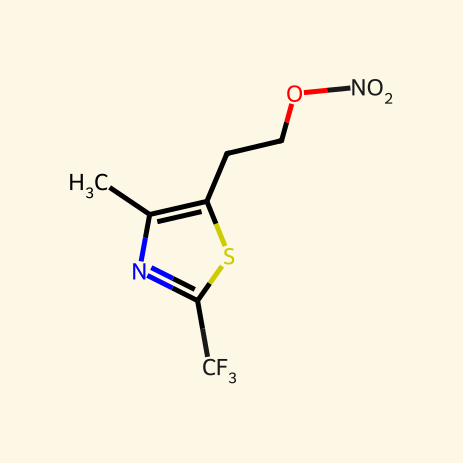 Cc1nc(C(F)(F)F)sc1CCO[N+](=O)[O-]